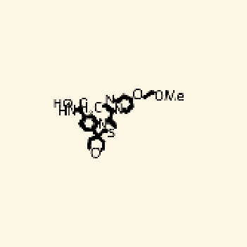 COCCOc1ccn2c(-c3csc(C4(c5ccc(C(=O)NO)cc5)CCOCC4)n3)c(C)nc2c1